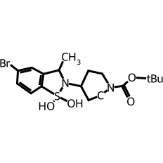 CC1c2cc(Br)ccc2S(O)(O)N1C1CCN(C(=O)OC(C)(C)C)CC1